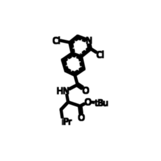 CC(C)CC(NC(=O)c1ccc2c(Cl)cnc(Cl)c2c1)C(=O)OC(C)(C)C